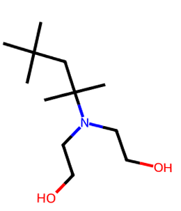 CC(C)(C)CC(C)(C)N(CCO)CCO